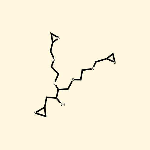 SC(CC1CS1)C(CSCCSCC1CS1)SCCSCC1CS1